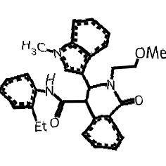 CCc1ccccc1NC(=O)C1c2ccccc2C(=O)N(CCOC)C1c1cn(C)c2ccccc12